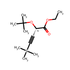 CCOC(=O)[C@H](C#C[Si](C)(C)C)OC(C)(C)C